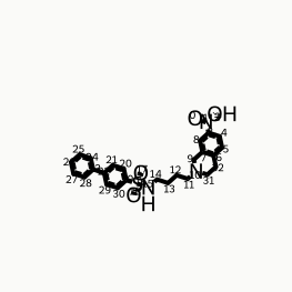 O=[N+](O)c1ccc2c(c1)CN(CCCCNS(=O)(=O)c1ccc(-c3ccccc3)cc1)CC2